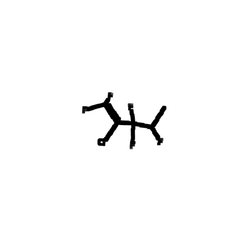 CC(F)C(F)(F)C(Cl)=C(F)F